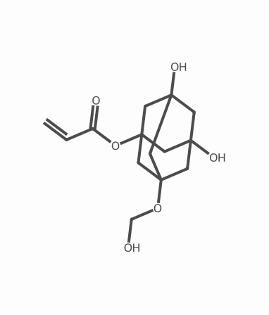 C=CC(=O)OC12CC3(O)CC(O)(CC(OCO)(C3)C1)C2